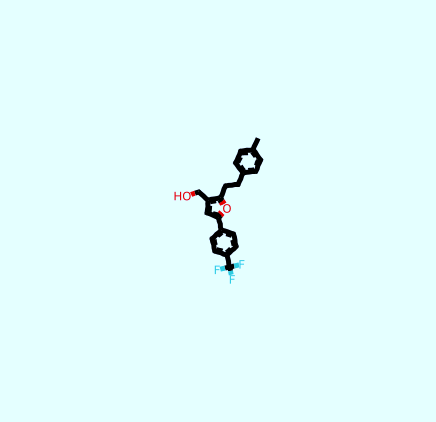 Cc1ccc(CCc2oc(-c3ccc(C(F)(F)F)cc3)cc2CO)cc1